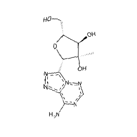 C[C@@]1(O)[C@H](O)[C@@H](CO)O[C@H]1c1nnc2c(N)ncnn12